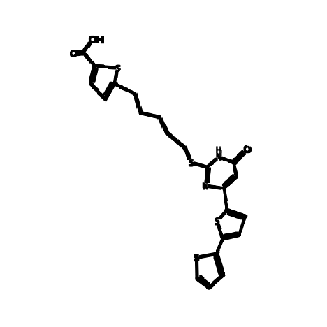 O=C(O)c1ccc(CCCCCSc2nc(-c3ccc(-c4cccs4)s3)cc(=O)[nH]2)s1